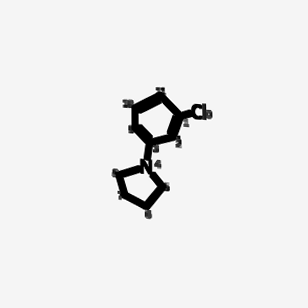 Clc1[c]c(N2CCCC2)ccc1